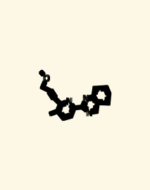 COCC#Cc1nc(-c2ncc3ccccc3n2)ccc1C